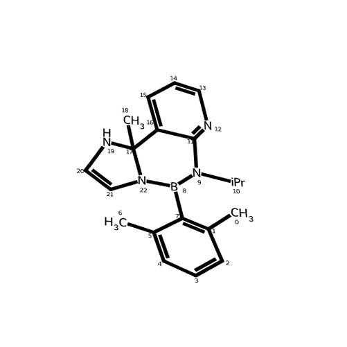 Cc1cccc(C)c1B1N(C(C)C)c2ncccc2C2(C)NC=CN12